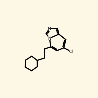 Clc1cc(CCC2CCCCC2)n2cncc2c1